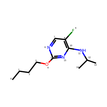 CCCCOc1ncc(F)c(NC(C)C)n1